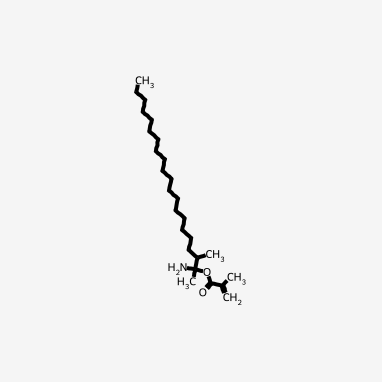 C=C(C)C(=O)OC(C)(N)C(C)CCCCCCCCCCCCCCCCCC